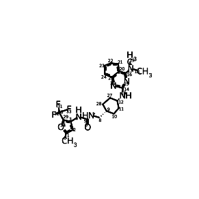 Cc1cc(NC(=O)NC[C@H]2CC[C@@H](Nc3nc(N(C)C)c4ccccc4n3)CC2)c(C(F)(F)F)o1